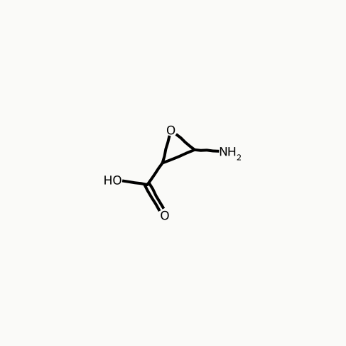 NC1OC1C(=O)O